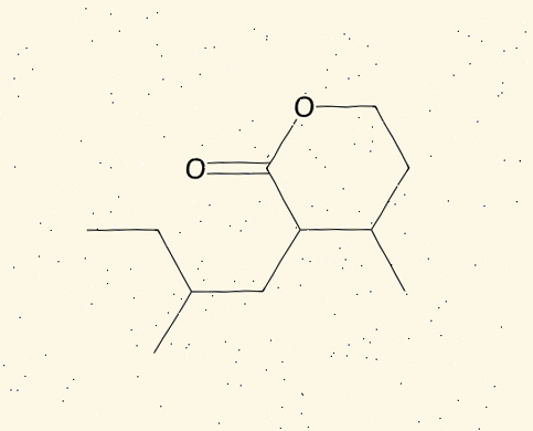 CCC(C)CC1C(=O)OCCC1C